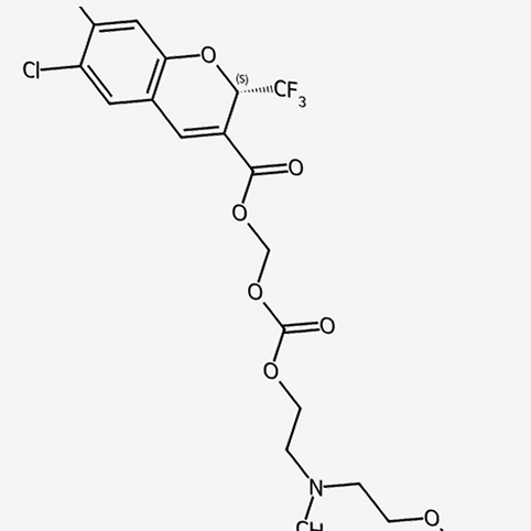 CN(CCOC(=O)OCOC(=O)C1=Cc2cc(Cl)c(C(C)(C)C)cc2O[C@@H]1C(F)(F)F)CCO[N+](=O)[O-]